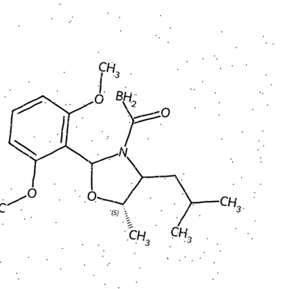 BC(=O)N1C(c2c(OC)cccc2OC)O[C@@H](C)C1CC(C)C